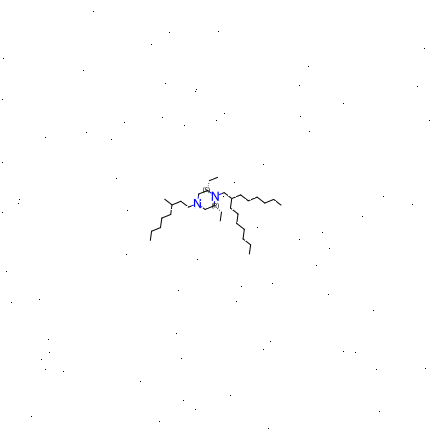 CCCCCCCC(CCCCCC)CN1[C@H](CC)CN(CCC(C)CCCCC)C[C@@H]1CC